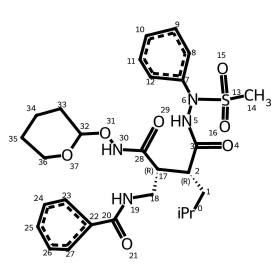 CC(C)C[C@@H](C(=O)NN(c1ccccc1)S(C)(=O)=O)[C@H](CNC(=O)c1ccccc1)C(=O)NOC1CCCCO1